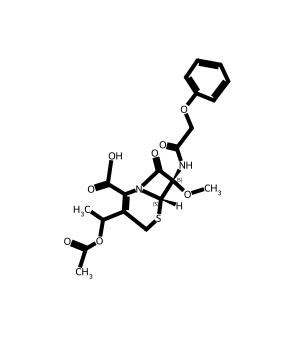 CO[C@@]1(NC(=O)COc2ccccc2)C(=O)N2C(C(=O)O)=C(C(C)OC(C)=O)CS[C@H]21